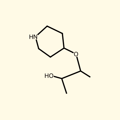 CC(O)C(C)OC1CCNCC1